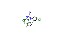 N#Cc1nc(Cl)c(-c2c(F)ccc(F)c2F)n1-c1ccc(Cl)cc1